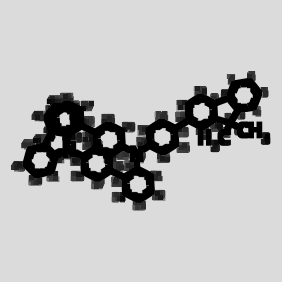 CC1(C)c2ccccc2-c2ccc(-c3ccc(N(c4ccc(-c5ccccc5)cc4)c4ccccc4-c4ccc(-n5c6ccccc6c6ccccc65)cc4)cc3)cc21